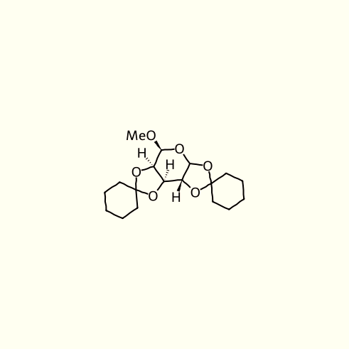 CO[C@H]1OC2OC3(CCCCC3)O[C@@H]2[C@H]2OC3(CCCCC3)O[C@@H]12